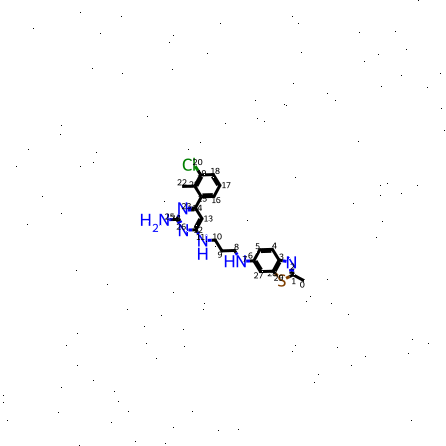 Cc1nc2ccc(NCCCNc3cc(-c4cccc(Cl)c4C)nc(N)n3)cc2s1